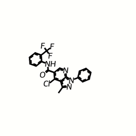 Cc1nn(-c2ccccc2)c2ncc(C(=O)Nc3ccccc3C(F)(F)F)c(Cl)c12